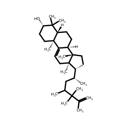 C=C(C)C(C)(C)C(C)C[C@@H](C)[C@H]1CC[C@@]2(C)[C@@H]3CC[C@H]4C(C)(C)[C@@H](O)CC[C@]4(C)C3=CC[C@]12C